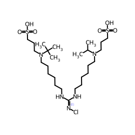 CC(C)N(CCCCCCN/C(=N\Cl)NCCCCCCN(CCCS(=O)(=O)O)C(C)(C)C)CCCS(=O)(=O)O